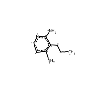 CCCc1c(N)cnnc1N